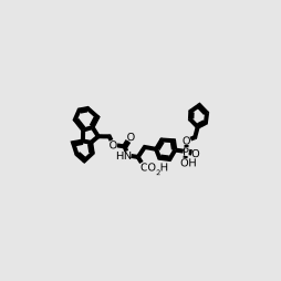 O=C(NC(Cc1ccc(P(=O)(O)OCc2ccccc2)cc1)C(=O)O)OCC1c2ccccc2-c2ccccc21